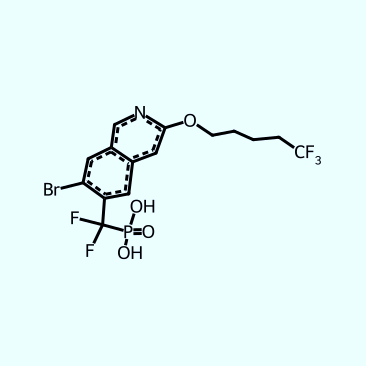 O=P(O)(O)C(F)(F)c1cc2cc(OCCCCC(F)(F)F)ncc2cc1Br